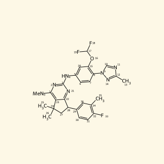 CNc1nc(Nc2ccc(-n3cnc(C)n3)c(OC(F)F)c2)nc2c1C(C)(C)CC2c1ccc(F)c(C)c1